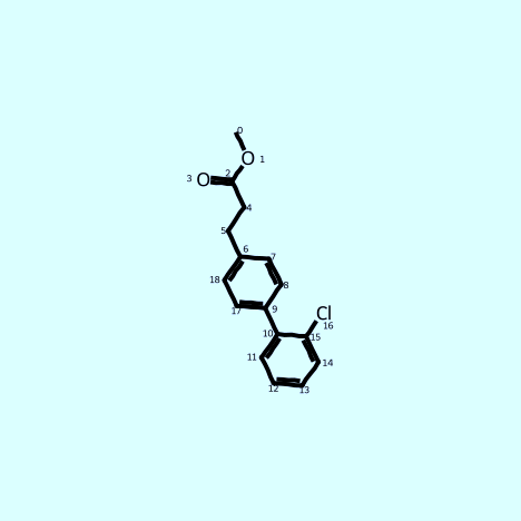 COC(=O)CCc1ccc(-c2ccccc2Cl)cc1